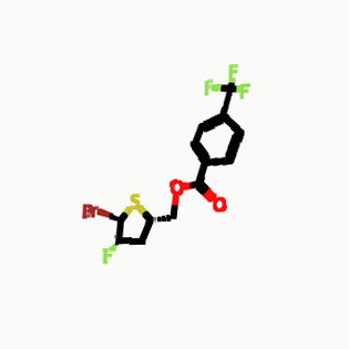 O=C(OC[C@@H]1C[C@H](F)[C@@H](Br)S1)c1ccc(C(F)(F)F)cc1